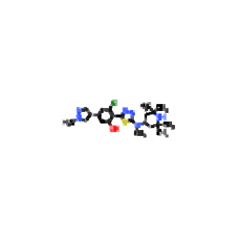 CN1CC(c2cc(O)c(-c3nnc(N(C)C4CC(C)(C)NC(C)(C)C4)s3)c(Cl)c2)C=N1